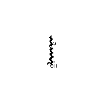 C=CCC(=O)OC=CC=CC=CCC(=O)O